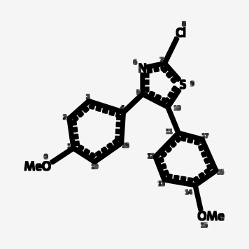 COc1ccc(-c2nc(Cl)sc2-c2ccc(OC)cc2)cc1